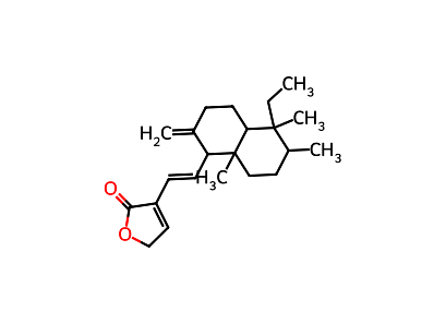 C=C1CCC2C(C)(CC)C(C)CCC2(C)C1/C=C/C1=CCOC1=O